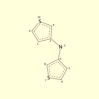 c1cc([N]c2ccsc2)cs1